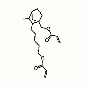 C=CC(=O)OCCCCCC1C(C)C2CCC1(COC(=O)C=C)C2